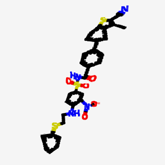 Cc1c(C#N)sc2ccc(-c3ccc(C(=O)NS(=O)(=O)c4ccc(NCCSc5ccccc5)c([N+](=O)[O-])c4)cc3)cc12